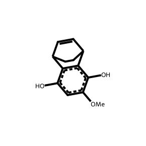 COc1cc(O)c2c(c1O)C1C=CC2CC1